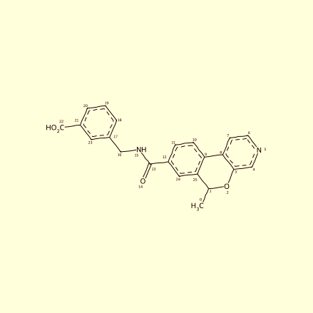 CC1Oc2cnccc2-c2ccc(C(=O)NCc3cccc(C(=O)O)c3)cc21